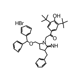 Br.CC(C)(C)c1cc(C(=O)CN2C(=N)C(Cc3ccccc3)CC2COC(c2ccccc2)c2ccccc2)cc(C(C)(C)C)c1O